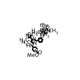 COC(=O)N1CCC(Nc2nc(-c3cccc(OC[C@@H](CN(C)C(=O)OC(C)(C)C)O[Si](C)(C)C(C)(C)C)c3)nc(-c3c(C)noc3C)c2C)CC1